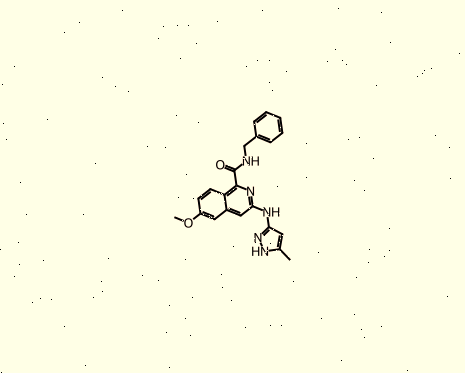 COc1ccc2c(C(=O)NCc3ccccc3)nc(Nc3cc(C)[nH]n3)cc2c1